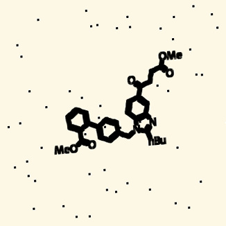 CCCCc1nc2cc(C(=O)CCC(=O)OC)ccc2n1Cc1ccc(-c2ccccc2C(=O)OC)cc1